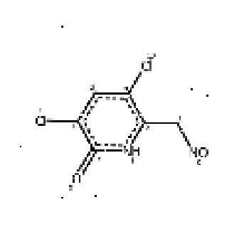 O=NCc1[nH]c(=O)c(Cl)cc1Cl